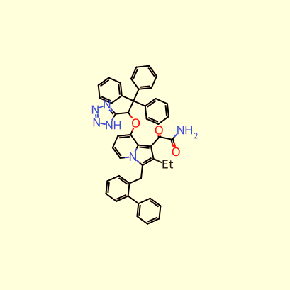 CCc1c(C(=O)C(N)=O)c2c(OC(c3nnn[nH]3)C(c3ccccc3)(c3ccccc3)c3ccccc3)cccn2c1Cc1ccccc1-c1ccccc1